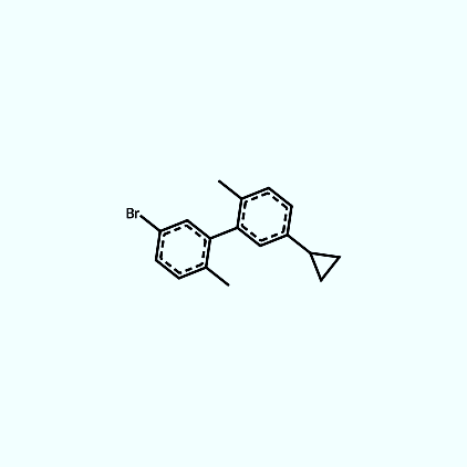 Cc1ccc(Br)cc1-c1cc(C2CC2)ccc1C